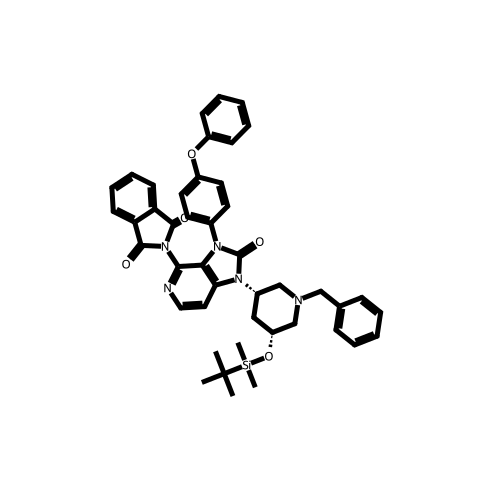 CC(C)(C)[Si](C)(C)O[C@@H]1C[C@H](n2c(=O)n(-c3ccc(Oc4ccccc4)cc3)c3c(N4C(=O)c5ccccc5C4=O)nccc32)CN(Cc2ccccc2)C1